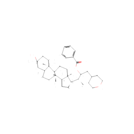 CC[C@]1(O)CC[C@@]2(C)[C@@H](CC[C@@H]3[C@@H]2CC[C@]2(C)[C@@H]([C@H](C)C(CC4CCOCC4)OC(=O)c4ccccc4)CC[C@@H]32)C1